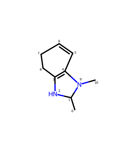 CC1NC2=C(C=CCC2)N1C